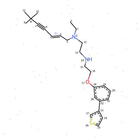 CCN(C/C=C/C#CC(C)(C)C)CCNCCOc1cccc(-c2ccsc2)c1